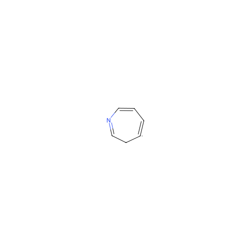 [C]1=CC=CN=CC1